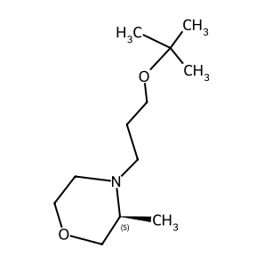 C[C@H]1COCCN1CCCOC(C)(C)C